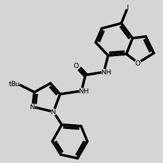 CC(C)(C)c1cc(NC(=O)Nc2ccc(I)c3ccoc23)n(-c2ccccc2)n1